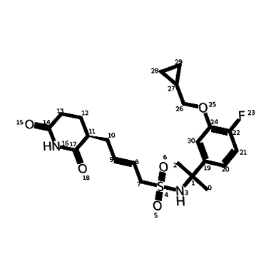 CC(C)(NS(=O)(=O)C/C=C/C[C@@H]1CCC(=O)NC1=O)c1ccc(F)c(OCC2CC2)c1